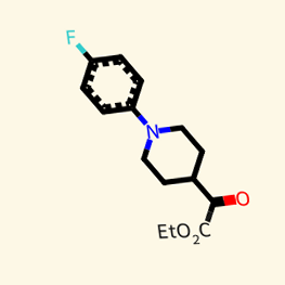 CCOC(=O)C(=O)C1CCN(c2ccc(F)cc2)CC1